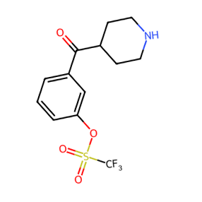 O=C(c1cccc(OS(=O)(=O)C(F)(F)F)c1)C1CCNCC1